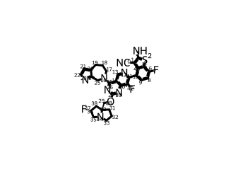 N#Cc1c(N)sc2c(F)ccc(-c3ncc4c(N5CCCC6=C=CN=C6C5)nc(OC[C@@]56CCCN5C[C@H](F)C6)nc4c3F)c12